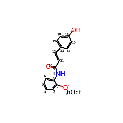 CCCCCCCCOc1ccccc1NC(=O)C=Cc1ccc(O)cc1